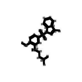 COc1ccc(S(=O)(=O)n2cc(C)c3ccccc32)cc1NCCN(C)C